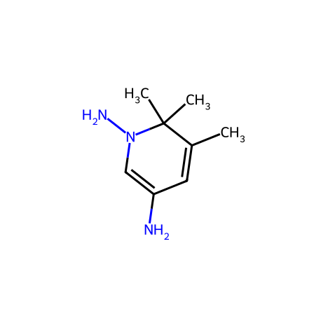 CC1=CC(N)=CN(N)C1(C)C